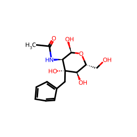 CC(=O)N[C@H]1[C@@H](O)O[C@H](CO)[C@@H](O)[C@@]1(O)Cc1ccccc1